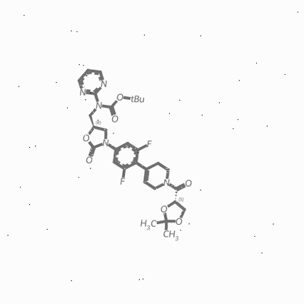 CC(C)(C)OC(=O)N(C[C@H]1CN(c2cc(F)c(C3=CCN(C(=O)[C@@H]4COC(C)(C)O4)CC3)c(F)c2)C(=O)O1)c1ncccn1